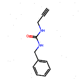 C#CCNC(=O)NCc1ccccc1